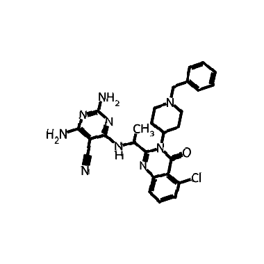 CC(Nc1nc(N)nc(N)c1C#N)c1nc2cccc(Cl)c2c(=O)n1C1CCN(Cc2ccccc2)CC1